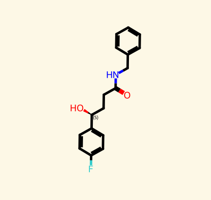 O=C(CC[C@H](O)c1ccc(F)cc1)NCc1ccccc1